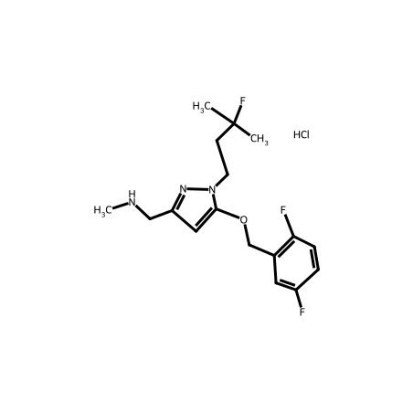 CNCc1cc(OCc2cc(F)ccc2F)n(CCC(C)(C)F)n1.Cl